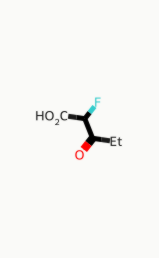 CCC(=O)C(F)C(=O)O